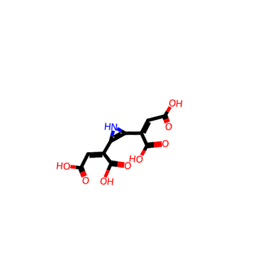 O=C(O)/C=C(\C(=O)O)C1=C(/C(=C/C(=O)O)C(=O)O)N1